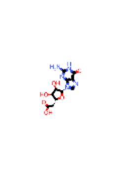 Nc1nc2c(ncn2[C@@H]2O[C@H](CC(=O)O)[C@@H](O)[C@H]2O)c(=O)[nH]1